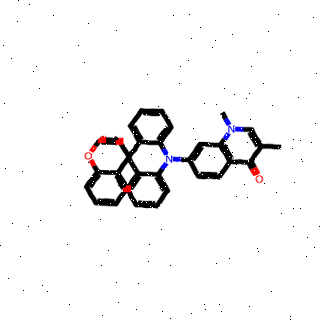 Cc1cn(C)c2cc(N3c4ccccc4C4(c5ccccc5Oc5ccccc54)c4ccccc43)ccc2c1=O